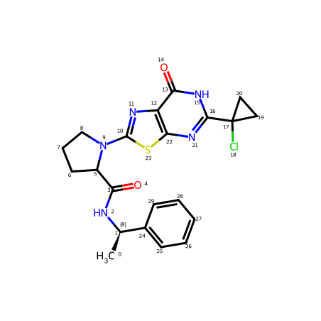 C[C@@H](NC(=O)C1CCCN1c1nc2c(=O)[nH]c(C3(Cl)CC3)nc2s1)c1ccccc1